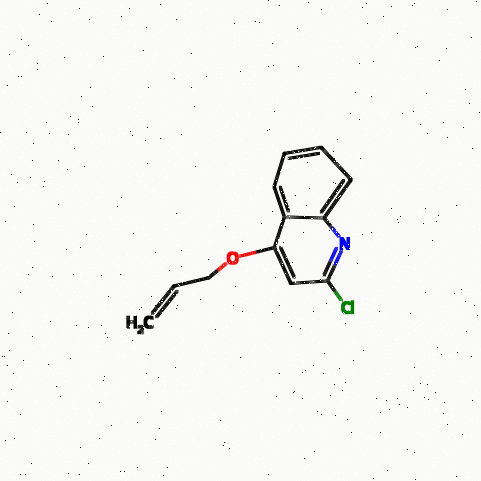 C=CCOc1cc(Cl)nc2ccccc12